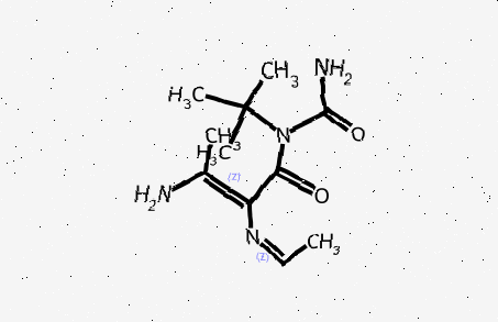 C/C=N\C(C(=O)N(C(N)=O)C(C)(C)C)=C(\C)N